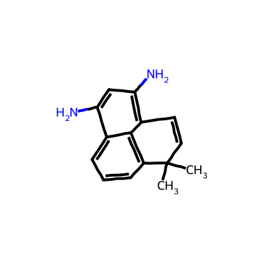 CC1(C)C=Cc2c(N)cc(N)c3cccc1c23